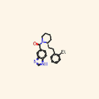 CCc1ccccc1CC[C@@H]1CCCCN1C(=O)c1ccc2[nH]cnc2c1